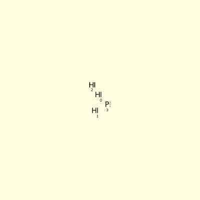 I.I.I.[P]